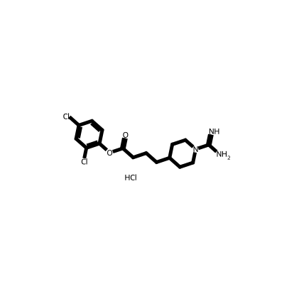 Cl.N=C(N)N1CCC(CCCC(=O)Oc2ccc(Cl)cc2Cl)CC1